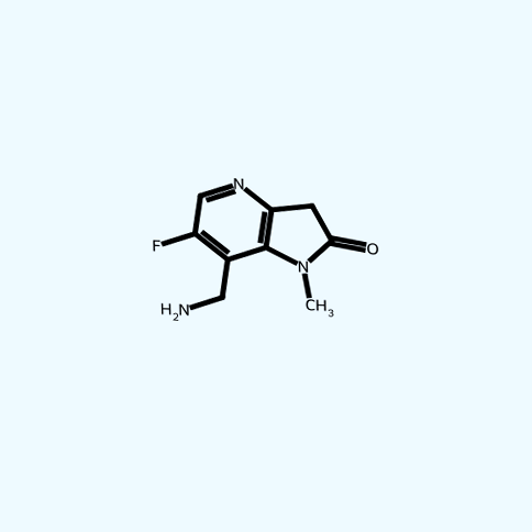 CN1C(=O)Cc2ncc(F)c(CN)c21